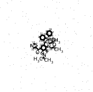 CC(C)=NOc1c(C(=O)c2cncs2)cc(CO[Si](c2ccccc2)(c2ccccc2)C(C)(C)C)c(N2C[C@@H](C)O[C@@H](C)C2)c1F